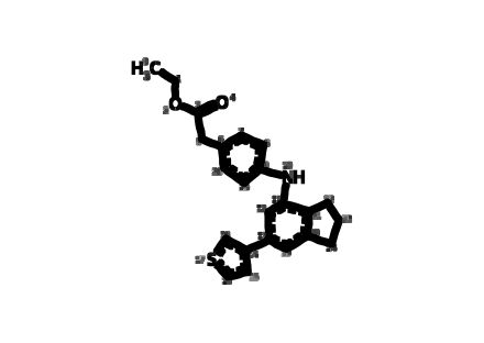 CCOC(=O)Cc1ccc(Nc2cc(-c3ccsc3)cc3c2CCC3)cc1